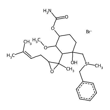 COC1C(OC(N)=O)CCC(O)(C[S+](C)Cc2ccccc2)C1C1(C)OC1CC=C(C)C.[Br-]